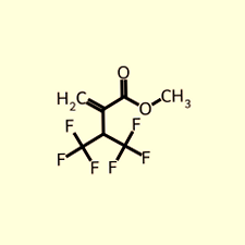 C=C(C(=O)OC)C(C(F)(F)F)C(F)(F)F